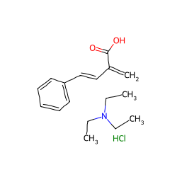 C=C(C=Cc1ccccc1)C(=O)O.CCN(CC)CC.Cl